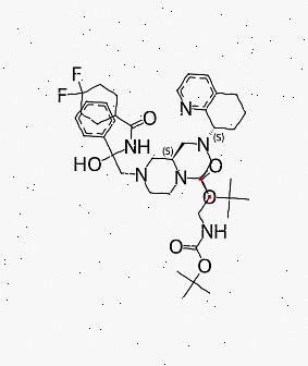 CC(C)(C)OC(=O)NCCCCN(C[C@@H]1CN(CC(O)(NC(=O)C2CCC(F)(F)CC2)c2ccccc2)CCN1C(=O)OC(C)(C)C)[C@H]1CCCc2cccnc21